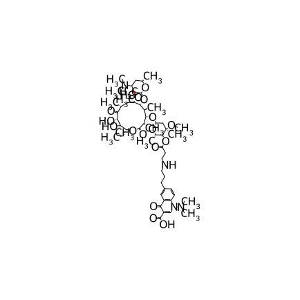 CC[C@H]1OC(=O)[C@H](C)[C@@H](O[C@H]2C[C@@](C)(OC)[C@@H](OC(=O)CCNCCCc3ccc4c(c3)c(=O)c(C(=O)O)cn4N(C)C)[C@H](C)O2)[C@H](C)[C@@H](O[C@@H]2O[C@H](C)C[C@H](N(C)C)[C@H]2O)[C@](C)(OC)C[C@@H](C)C(=O)[C@@H](O)[C@]1(C)O